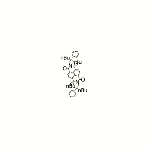 CCCCC(CCCC)(CN1C(=O)c2ccc3c4c(ccc(c24)C1=O)C(=O)N(CC(CCCC)(CCCC)c1ccccc1)C3=O)c1ccccc1